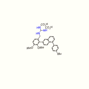 COc1ccc(CNC(NC(=O)O)NC(=O)O)c(-c2ccc3c(-c4ccc(C(C)(C)C)cc4)cccc3c2)c1OC